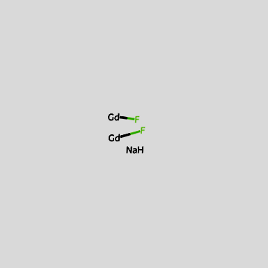 [F][Gd].[F][Gd].[NaH]